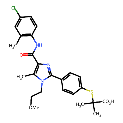 COCCn1c(-c2ccc(SC(C)(C)C(=O)O)cc2)nc(C(=O)Nc2ccc(Cl)cc2C)c1C